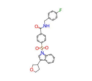 O=C(NCc1ccc(F)cc1)c1ccc(S(=O)(=O)n2cc(C3CCOC3)c3ccccc32)cc1